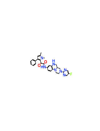 Cc1cc(-c2ccccc2)c(C(=O)C(=O)Nc2ccc3c(c2)NCC2CN(c4ncc(F)cn4)CCN32)n1C